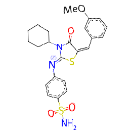 COc1cccc(C=C2S/C(=N\c3ccc(S(N)(=O)=O)cc3)N(C3CCCCC3)C2=O)c1